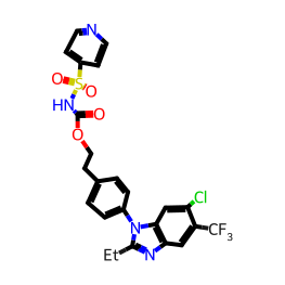 CCc1nc2cc(C(F)(F)F)c(Cl)cc2n1-c1ccc(CCOC(=O)NS(=O)(=O)c2ccncc2)cc1